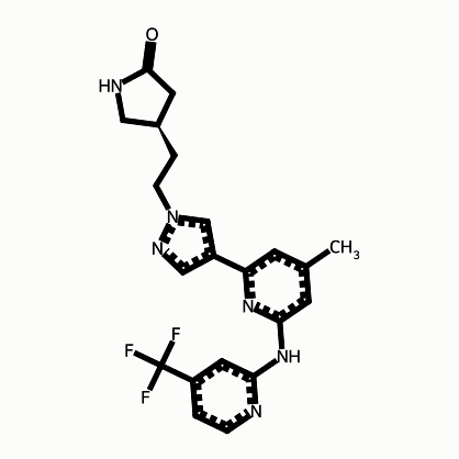 Cc1cc(Nc2cc(C(F)(F)F)ccn2)nc(-c2cnn(CC[C@H]3CNC(=O)C3)c2)c1